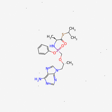 CC(C)SC(=O)[C@H](C)NP(=O)(CO[C@H](C)Cn1cnc2c(N)ncnc21)Oc1ccccc1